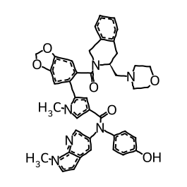 Cn1cc(C(=O)N(c2ccc(O)cc2)c2cnc3c(ccn3C)c2)cc1-c1cc2c(cc1C(=O)N1Cc3ccccc3C[C@H]1CN1CCOCC1)OCO2